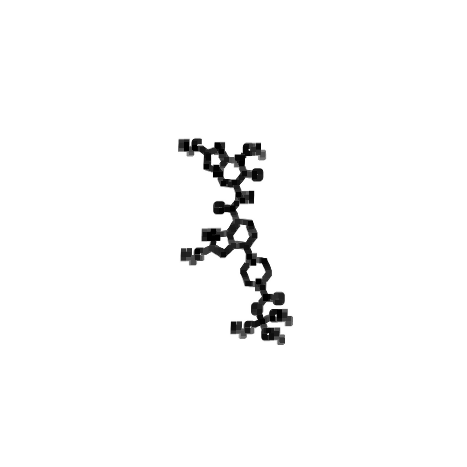 Cc1cn2cc(NC(=O)c3ccc(N4CCN(C(=O)OC(C)(C)C)CC4)c4cc(C)[nH]c34)c(=O)n(C)c2n1